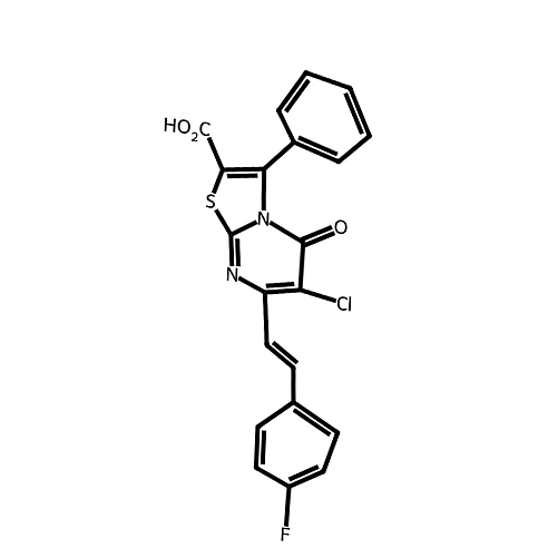 O=C(O)c1sc2nc(/C=C/c3ccc(F)cc3)c(Cl)c(=O)n2c1-c1ccccc1